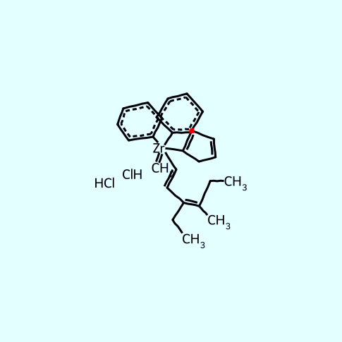 Cl.Cl.[CH2]=[Zr]([CH]=CC(CC)=C(C)CC)([C]1=CC=CC1)([c]1ccccc1)[c]1ccccc1